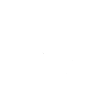 CC1(C)c2ccccc2[S+]([O-])c2ccc(-n3c4ccc(-c5ccccc5)cc4c4ccccc4c4ccccc4c4cc(-c5ccccc5)ccc43)cc21